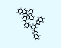 c1ccc(C2(c3ccccc3)c3cc(-c4cccc(-c5cc(-c6nc7ccccc7s6)cc(-c6nc7ccccc7s6)c5)c4)ccc3-c3c2ccc2ccccc32)cc1